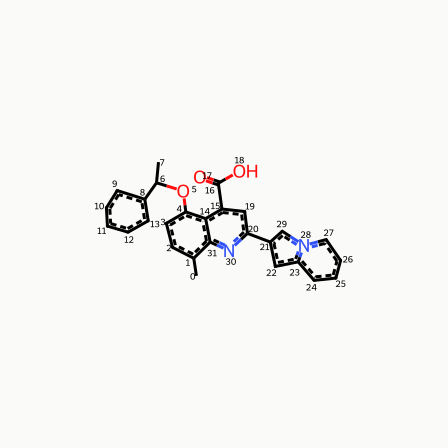 Cc1ccc(OC(C)c2ccccc2)c2c(C(=O)O)cc(-c3cc4ccccn4c3)nc12